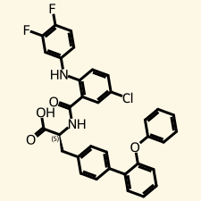 O=C(N[C@@H](Cc1ccc(-c2ccccc2Oc2ccccc2)cc1)C(=O)O)c1cc(Cl)ccc1Nc1ccc(F)c(F)c1